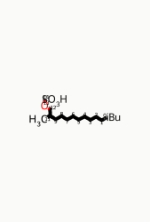 CCC(C)CCCCCCCCCC(C)COS(=O)(=O)O